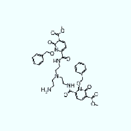 COC(=O)c1ccc(C(=O)NCCN(CCN)CCNC(=O)c2ccc(C(=O)OC)c(=O)n2OCc2ccccc2)n(OCc2ccccc2)c1=O